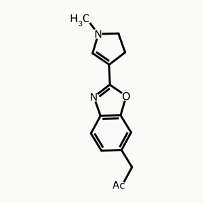 CC(=O)Cc1ccc2nc(C3=CN(C)CC3)oc2c1